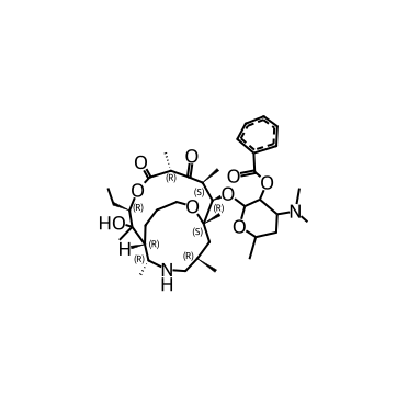 CC[C@H]1OC(=O)[C@H](C)C(=O)[C@@H](C)[C@@H](OC2OC(C)CC(N(C)C)C2OC(=O)c2ccccc2)[C@]2(C)C[C@@H](C)CN[C@H](C)[C@@H](CCCO2)C1(C)O